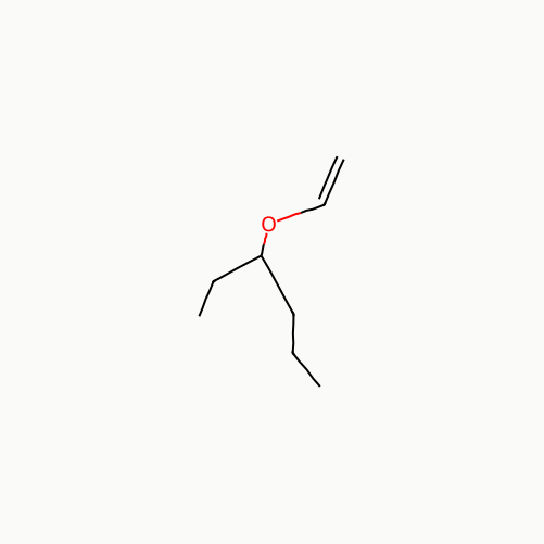 C=COC(CC)CCC